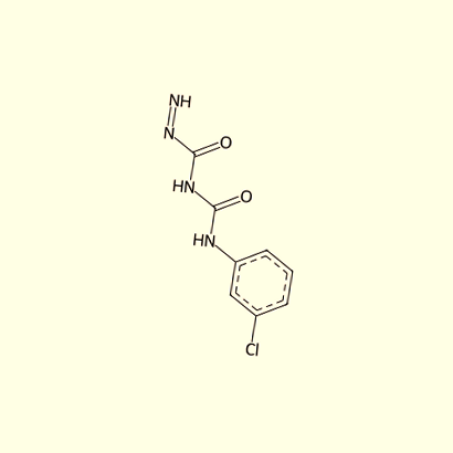 N=NC(=O)NC(=O)Nc1cccc(Cl)c1